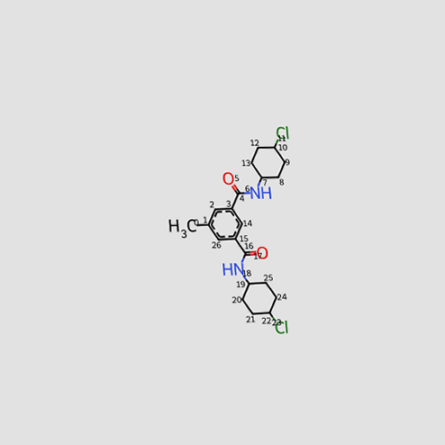 Cc1cc(C(=O)NC2CCC(Cl)CC2)cc(C(=O)NC2CCC(Cl)CC2)c1